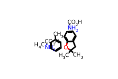 C.CC1(C)Cc2ccccc2O1.Cc1ccccc1.NC(=O)O.NC(=O)O